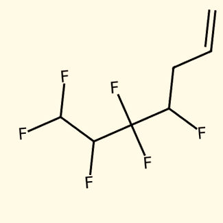 C=CCC(F)C(F)(F)C(F)C(F)F